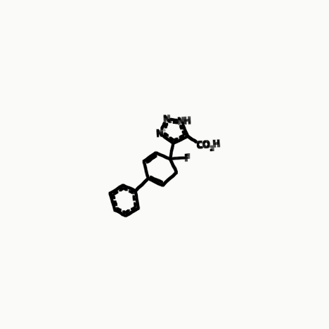 O=C(O)c1[nH]nnc1C1(F)C=CC(c2ccccc2)=CC1